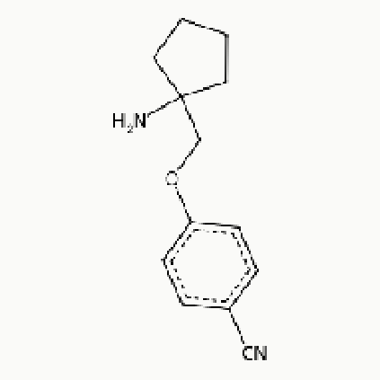 N#Cc1ccc(OCC2(N)CCCC2)cc1